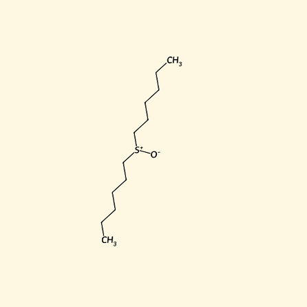 CCCCCC[S+]([O-])CCCCCC